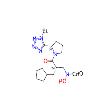 CCn1nnnc1[C@@H]1CCCN1C(=O)[C@@H](CC1CCCC1)CN(O)C=O